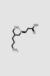 CCCCC(CC)CN=CCC(=O)O